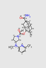 CN(c1cccc(C(F)(F)F)n1)C1CCN(C(=O)OC2[C@@H]3CC4C[C@H]2CC(C(N)=O)(C4)C3)C1